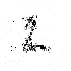 CCCCOc1nc(N)c2nc(O)n(Cc3ccc(C(=O)NCCOCCOCCNC(=O)CC[C@@H](NC[C@@H](NC(=O)CNC(=O)/C=C/c4ccc(C(C)C)cc4)C(C)C)C(=O)OCC)cc3)c2n1